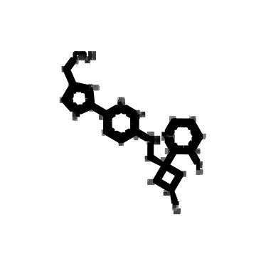 O=C(O)Cc1cnc(-c2ccc(NC[C@]3(c4ncccc4F)C[C@H](F)C3)nn2)s1